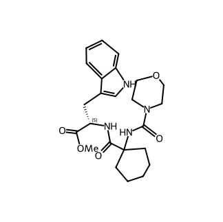 COC(=O)[C@H](Cc1c[nH]c2ccccc12)NC(=O)C1(NC(=O)N2CCOCC2)CCCCC1